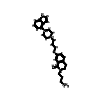 NCCCN1CCc2ccc(OCCCN3CCN(c4cccc5sccc45)CC3)cc2C1=O